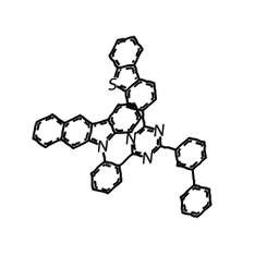 c1ccc(-c2cccc(-c3nc(-c4ccc5c(c4)sc4ccccc45)nc(-c4ccccc4-n4c5ccccc5c5cc6ccccc6cc54)n3)c2)cc1